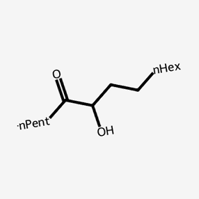 CCCC[CH]C(=O)C(O)CCCCCCCC